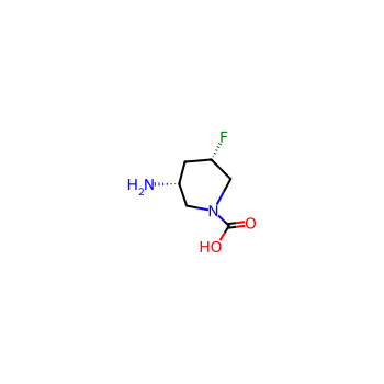 N[C@@H]1C[C@H](F)CN(C(=O)O)C1